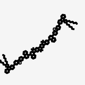 CCCCCCCCC1(CCCCCCCC)c2ccccc2-c2ccc(-c3ccc4c(c3)oc3cc(-c5ccc(-c6ccc7c(c6)C(C)(C)c6cc8c(cc6-7)C(C)(C)c6cc7c(cc6-8)C(C)(C)c6cc(-c8ccc(-c9ccc%10c(c9)oc9cc(-c%11ccc%12c(c%11)C(CCCCCCCC)(CCCCCCCC)c%11ccccc%11-%12)ccc9%10)c9ccccc89)c8ccccc8c6-7)c6ccccc56)ccc34)cc21